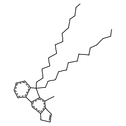 CCCCCCCCCCCCCCC1(CCCCCCCCCCCCCC)c2ccccc2-c2cc3c(c(C)c21)C=CC3